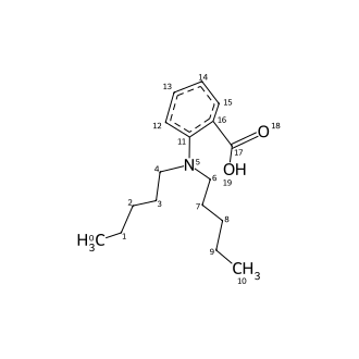 CCCCCN(CCCCC)c1ccccc1C(=O)O